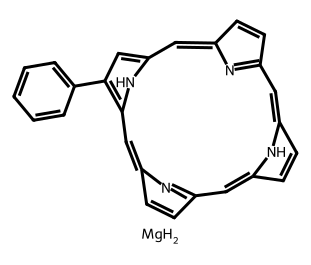 C1=Cc2cc3cc(-c4ccccc4)c(cc4nc(cc5ccc(cc1n2)[nH]5)C=C4)[nH]3.[MgH2]